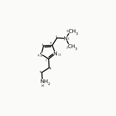 CN(C)Cc1csc(CCN)n1